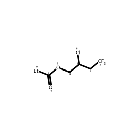 CCC(=O)OCC(Cl)CC(F)(F)F